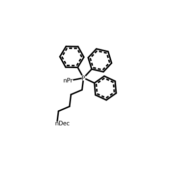 CCCCCCCCCCCCCCP(CCC)(c1ccccc1)(c1ccccc1)c1ccccc1